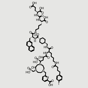 O=C(O)CC[C@H](NC(=O)N[C@@H](CCCCNC(=O)[C@@H](Cc1ccc2ccccc2c1)NC(=O)[C@H]1CC[C@H](CNC(=O)C(CCCCNC(=O)CCCc2ccc(I)cc2)NC(=O)CCC(N2CCN(Cc3cccc(C(=O)O)n3)CCN(CP(=O)(O)O)CC2)P(=O)(O)O)CC1)C(=O)O)C(=O)O